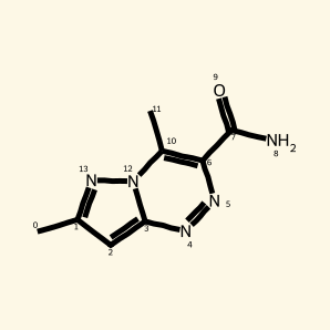 Cc1cc2nnc(C(N)=O)c(C)n2n1